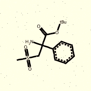 CC(C)(C)OC(=O)C(N)(CS(C)(=O)=O)c1ccccc1